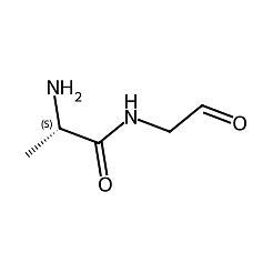 C[C@H](N)C(=O)NCC=O